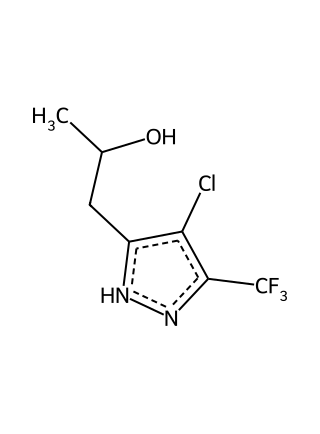 CC(O)Cc1[nH]nc(C(F)(F)F)c1Cl